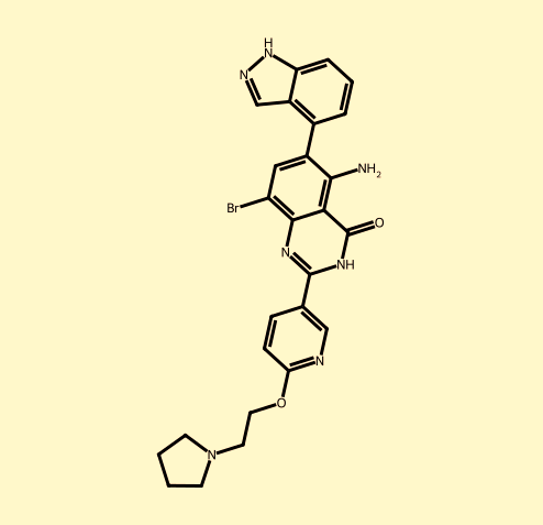 Nc1c(-c2cccc3[nH]ncc23)cc(Br)c2nc(-c3ccc(OCCN4CCCC4)nc3)[nH]c(=O)c12